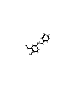 C[CH]c1cc(OCc2ccccc2)ccc1O